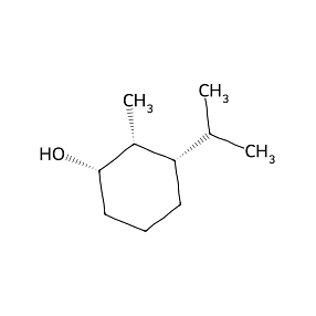 CC(C)[C@@H]1CCC[C@H](O)[C@@H]1C